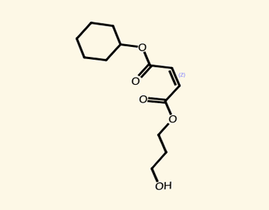 O=C(/C=C\C(=O)OC1CCCCC1)OCCCO